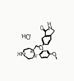 COc1ccc([C@@H]2CCNCC[C@H]2COc2ccc3c(c2)C(=O)NC3)cc1.Cl